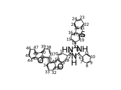 C1=CC(C2NC(c3ccccc3)NC(c3ccc4c(c3)sc3ccccc34)N2)Cc2oc3cccc(-c4cccc5c4oc4ccccc45)c3c21